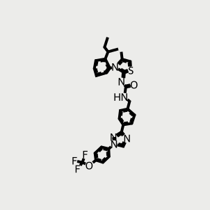 CCC(C)c1ccccc1-n1c(C)cs/c1=N\C(=O)NCc1ccc(-c2ncn(-c3ccc(OC(F)(F)F)cc3)n2)cc1